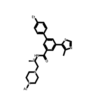 CCc1ccc(-c2cc(C(=O)N[C@H](C)CN3CCN(C(C)=O)CC3)cc(-c3scnc3C)c2)cc1